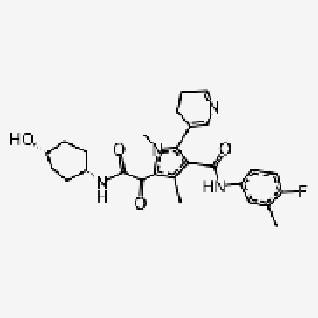 Cc1cc(NC(=O)c2c(C)c(C(=O)C(=O)N[C@H]3CC[C@@H](O)CC3)n(C)c2C2=CN=CCC2)ccc1F